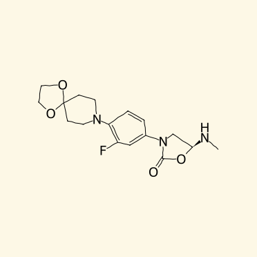 CN[C@@H]1CN(c2ccc(N3CCC4(CC3)OCCO4)c(F)c2)C(=O)O1